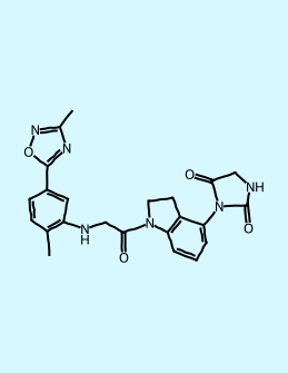 Cc1noc(-c2ccc(C)c(NCC(=O)N3CCc4c3cccc4N3C(=O)CNC3=O)c2)n1